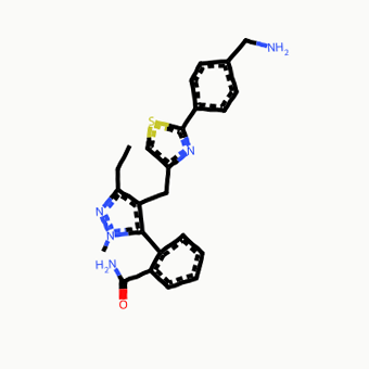 CCc1nn(C)c(-c2ccccc2C(N)=O)c1Cc1csc(-c2ccc(CN)cc2)n1